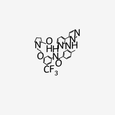 Cc1ccc(C(=O)Nc2cc(OCCN3CCCC3CO)cc(C(F)(F)F)c2)cc1Nc1ncccc1-c1ccncn1